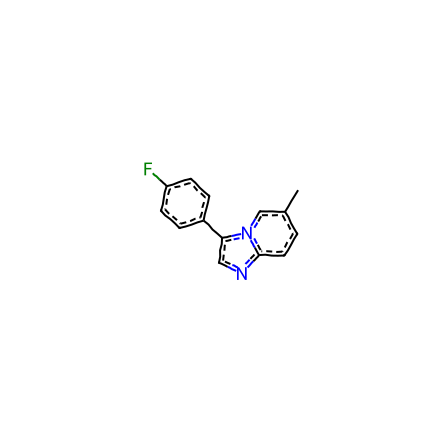 Cc1ccc2ncc(-c3ccc(F)cc3)n2c1